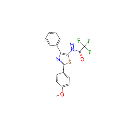 COc1ccc(-c2nc(-c3ccccc3)c(NC(=O)C(F)(F)F)s2)cc1